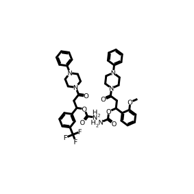 COc1ccccc1C(CC(=O)N1CCN(c2ccccc2)CC1)OC(N)=O.NC(=O)OC(CC(=O)N1CCN(c2ccccc2)CC1)c1cccc(C(F)(F)F)c1